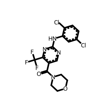 O=C(c1cnc(Nc2cc(Cl)ccc2Cl)nc1C(F)(F)F)N1CCOCC1